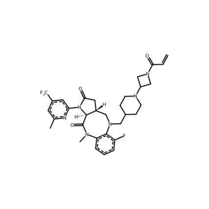 C=CC(=O)N1CC(N2CCC(CN3C[C@H]4CC(=O)N(c5cc(C(F)(F)F)cc(C)n5)[C@@H]4C(=O)N(C)c4cccc(F)c43)CC2)C1